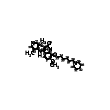 COc1ccc2c(Nc3c(C)cncc3C)cc(=O)[nH]c2c1OCCCCCCN1CCCCC1